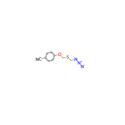 N#Cc1ccc(OCSCN=[N+]=[N-])cc1